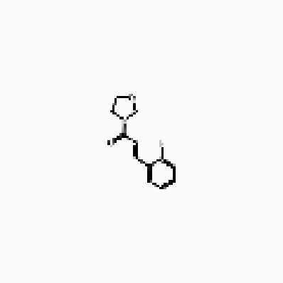 O=C(/C=C/c1ccccc1F)N1CCOC1